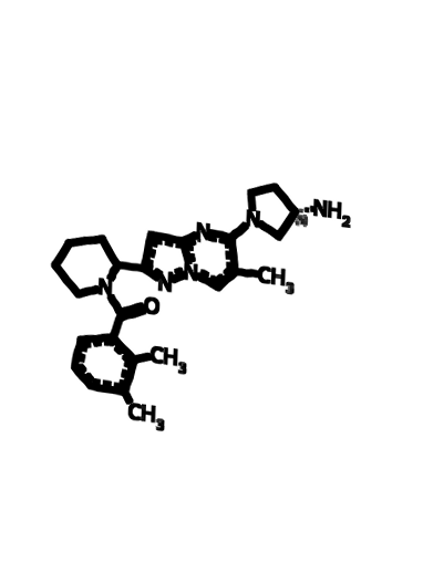 Cc1cn2nc(C3CCCCN3C(=O)c3cccc(C)c3C)cc2nc1N1CC[C@H](N)C1